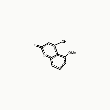 COc1cccc2oc(=O)cc(O)c12